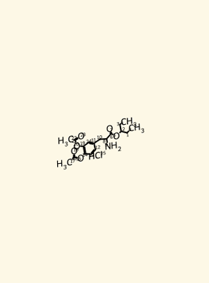 CCC(CC)OC(=O)C(N)Cc1ccc(OC(C)=O)c(OC(C)=O)c1.Cl